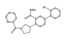 CNC(=O)c1cc(-c2ccccc2C(C)C)ccc1C1CCN(C(=O)c2ccccn2)C1